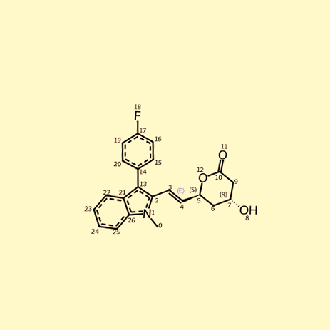 Cn1c(/C=C/[C@@H]2C[C@@H](O)CC(=O)O2)c(-c2ccc(F)cc2)c2ccccc21